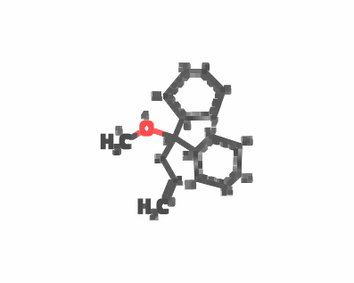 C=CCC(OC)(c1ccccc1)c1ccccc1